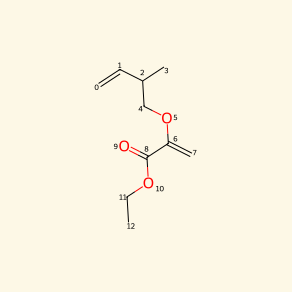 C=CC(C)COC(=C)C(=O)OCC